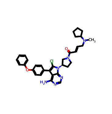 CN(C/C=C/C(=O)N1CC[C@@H](n2c(Cl)c(-c3ccc(Oc4ccccc4)cc3)c3c(N)ncnc32)C1)C1CCCC1